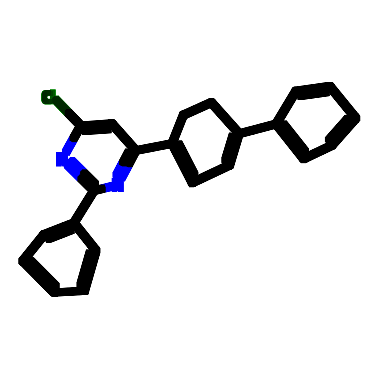 Clc1cc(C2=CC=C(c3ccccc3)CC2)nc(-c2ccccc2)n1